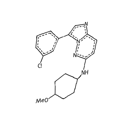 COC1CCC(Nc2ccc3ncc(-c4cccc(Cl)c4)n3n2)CC1